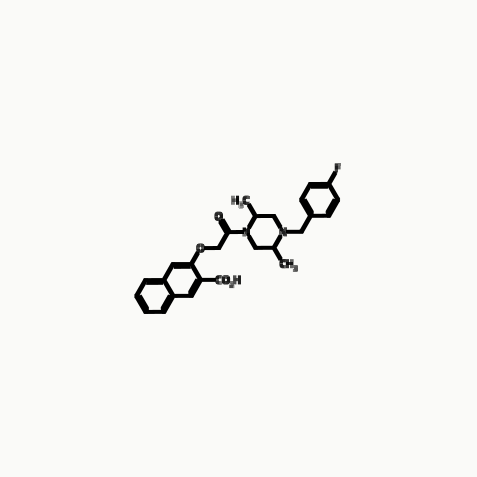 CC1CN(C(=O)COc2cc3ccccc3cc2C(=O)O)C(C)CN1Cc1ccc(F)cc1